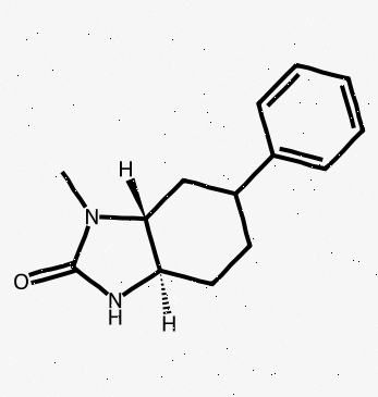 CN1C(=O)N[C@@H]2CCC(c3ccccc3)C[C@H]21